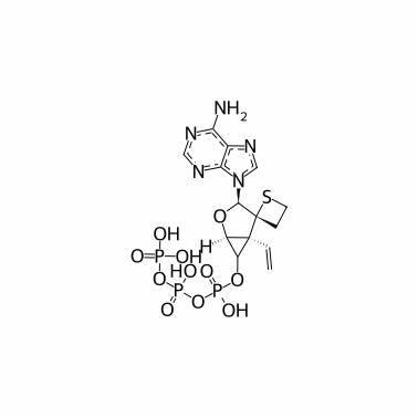 C=C[C@]12C(OP(=O)(O)OP(=O)(O)OP(=O)(O)O)[C@H]1O[C@@H](n1cnc3c(N)ncnc31)[C@@]21CCS1